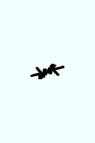 CCCCCCCCCCCCC(CCCCCCCC)Cc1cc(Br)sc1-c1ccc2c(c1)c(=O)c1cc3c(cc12)c(=O)c1cc(-c2sc(Br)cc2CC(CCCCCCCC)CCCCCCCCCCCC)ccc13